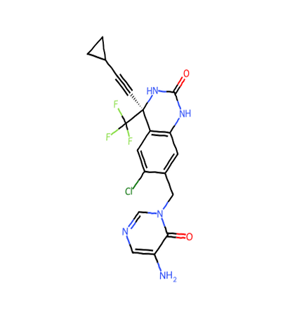 Nc1cncn(Cc2cc3c(cc2Cl)[C@@](C#CC2CC2)(C(F)(F)F)NC(=O)N3)c1=O